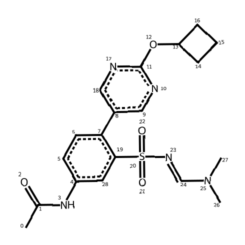 CC(=O)Nc1ccc(-c2cnc(OC3CCC3)nc2)c(S(=O)(=O)N=CN(C)C)c1